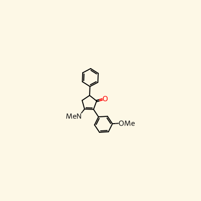 CNC1=C(c2cccc(OC)c2)C(=O)C(c2ccccc2)C1